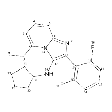 CCc1cccc2nc(-c3c(F)cccc3F)c(NC3CCCC3)n12